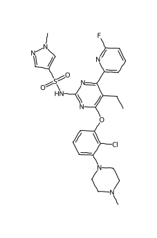 CCc1c(Oc2cccc(N3CCN(C)CC3)c2Cl)nc(NS(=O)(=O)c2cnn(C)c2)nc1-c1cccc(F)n1